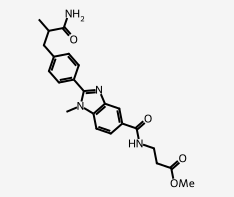 COC(=O)CCNC(=O)c1ccc2c(c1)nc(-c1ccc(CC(C)C(N)=O)cc1)n2C